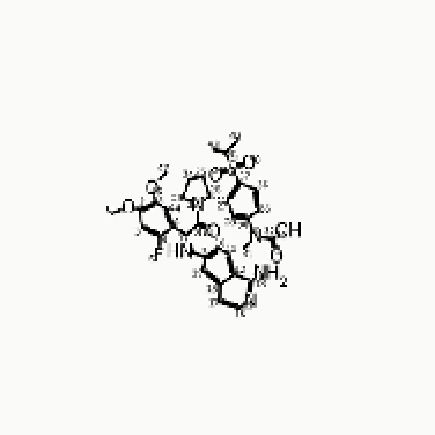 COc1cc(F)c([C@@H](Nc2ccc3c(N)nccc3c2)C(=O)N2CCC[C@@H]2c2cc(N(C)C(=O)O)ccc2S(=O)(=O)C(C)C)cc1OC